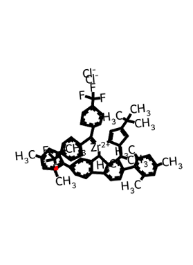 Cc1cc(C)c(-c2ccc3c(c2)[CH]([Zr+2]([C]2=CC(C(C)(C)C)=CC2C(C)C)=[C](c2ccc(C(F)(F)F)cc2)c2ccc(C(F)(F)F)cc2)c2cc(-c4c(C)cc(C)cc4C)ccc2-3)c(C)c1.[Cl-].[Cl-]